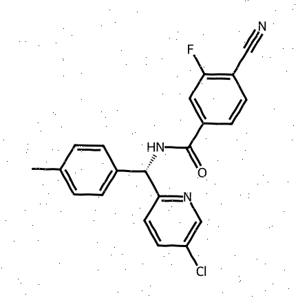 Cc1ccc([C@H](NC(=O)c2ccc(C#N)c(F)c2)c2ccc(Cl)cn2)cc1